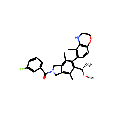 Cc1c(-c2c(C)c3c(c(C)c2[C@H](OC(C)(C)C)C(=O)O)CN(C(=O)c2cccc(F)c2)C3)ccc2c1NCCO2